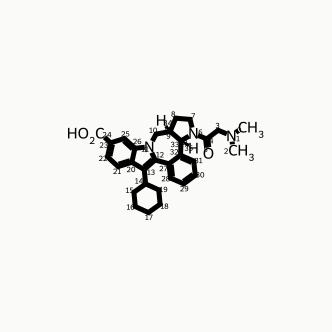 CN(C)CC(=O)N1CC[C@H]2Cn3c(c(C4CCCCC4)c4ccc(C(=O)O)cc43)-c3ccccc3[C@H]21